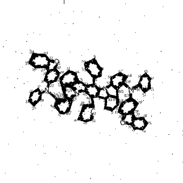 C1=CC2c3c(c(-c4ccccc4)c4c5cccc6c7c(N(c8ccccc8)c8ccc9oc%10ccccc%10c9c8)cccc7n(c4c3-c3ccccc3)c65)N3c4cccc(N(c5ccccc5)c5ccc6oc7ccccc7c6c5)c4C(=C1)C23